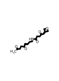 CC(=O)CCC(=O)/C=C/CCNC(=O)CCC(=O)C=C1COC1